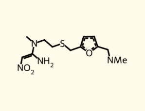 CNCc1ccc(CSCCN(C)C(N)=C[N+](=O)[O-])o1